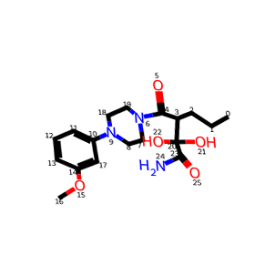 CCCC(C(=O)N1CCN(c2cccc(OC)c2)CC1)C(O)(O)C(N)=O